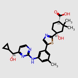 Cc1cc(Nc2nccc([C@H](O)C3CC3)n2)cc(-c2cnc([C@@]3(O)CC[C@H](C(=O)O)C(C)(C)C3)s2)c1